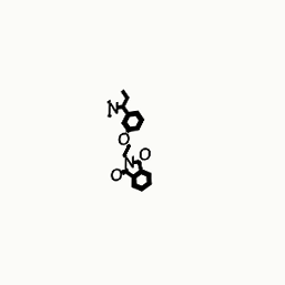 CCC(c1cccc(OCCN2C(=O)c3ccccc3C2=O)c1)N(C)C